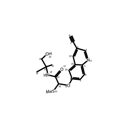 C#Cc1cnc2ccc(OC(SC)C(=O)NC(C)(C)CO)cc2c1